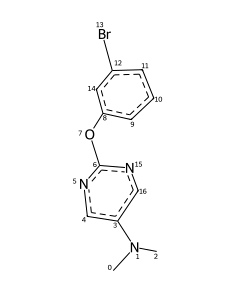 CN(C)c1cnc(Oc2cccc(Br)c2)nc1